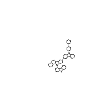 c1ccc(-c2ccc(-n3c4ccccc4c4cc(-c5ccc6c(c5)c5ccc7ccccc7c5n6-c5cccc6sc7ccccc7c56)ccc43)cc2)cc1